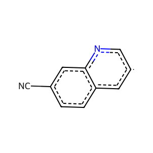 N#Cc1ccc2c[c]cnc2c1